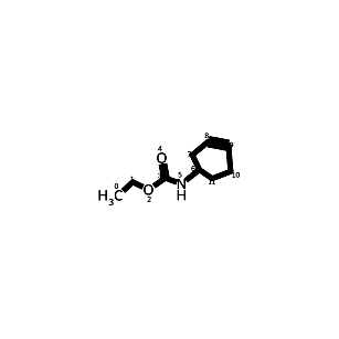 CCOC(=O)NC1CC#CCC1